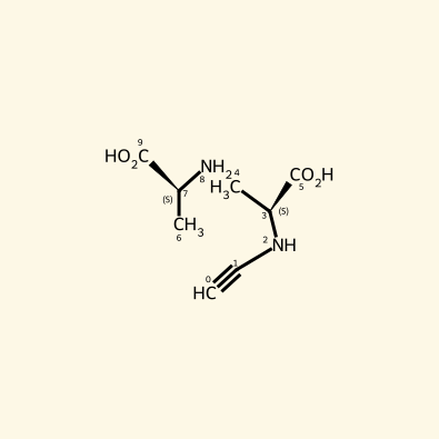 C#CN[C@@H](C)C(=O)O.C[C@H](N)C(=O)O